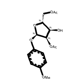 COc1ccc(O[C@H]2O[C@H](COC(C)=O)[C@@H](O)[C@H]2OC(C)=O)cc1